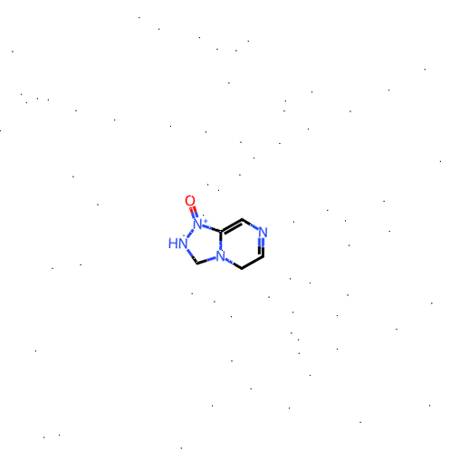 O=[N+]1NCN2CC=NC=C21